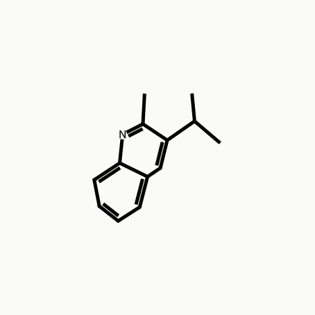 Cc1nc2ccccc2cc1C(C)C